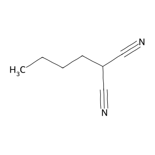 CCCCC(C#N)C#N